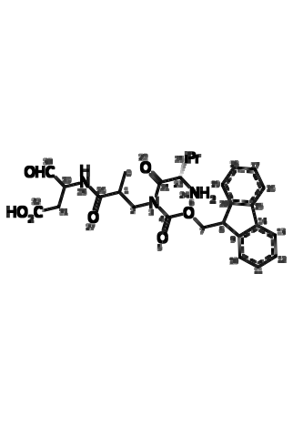 CC(CN(C(=O)OCC1c2ccccc2-c2ccccc21)C(=O)[C@@H](N)C(C)C)C(=O)NC(C=O)CC(=O)O